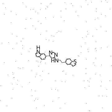 c1nc(NCCc2ccc3sccc3c2)cc(-c2ccc3cc[nH]c3c2)n1